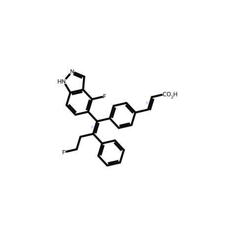 O=C(O)/C=C/c1ccc(/C(=C(/CCF)c2ccccc2)c2ccc3[nH]ncc3c2F)cc1